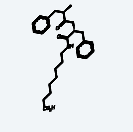 C[C@H](Cc1ccccc1)C(=O)C[C@H](Cc1ccccc1)C(=O)NCCCCCCCC(=O)O